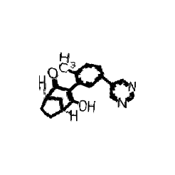 Cc1ccc(-c2cncnc2)cc1C1=C(O)[C@H]2CC[C@H](C2)C1=O